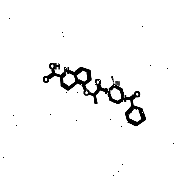 CC(Oc1cccc2nc(C(=O)O)ccc12)C(=O)N1CCN(C(=O)c2ccccc2)C[C@H]1C